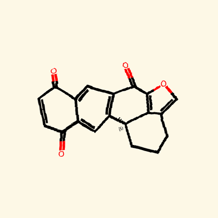 C[C@@]12CCCc3coc(c31)C(=O)c1cc3c(cc12)C(=O)C=CC3=O